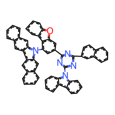 c1ccc2cc(-c3nc(-c4cc(-n5c6cc7ccccc7cc6c6cc7ccccc7cc65)c5c(c4)oc4ccccc45)nc(-n4c5ccccc5c5ccccc54)n3)ccc2c1